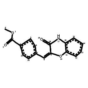 COC(=O)c1ccc(C=C2Oc3ccccc3NC2=O)cc1